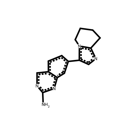 Nc1ncc2ccc(-c3cnc4n3CCCC4)cc2n1